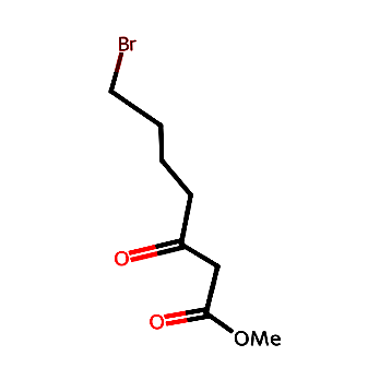 COC(=O)CC(=O)CCCCBr